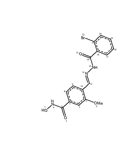 COc1cc(C(=O)NO)ccc1C=NNC(=O)c1ccccc1Br